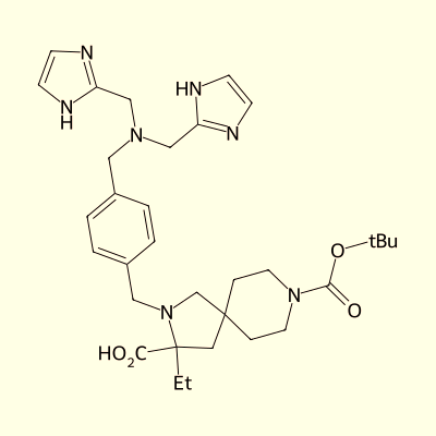 CCC1(C(=O)O)CC2(CCN(C(=O)OC(C)(C)C)CC2)CN1Cc1ccc(CN(Cc2ncc[nH]2)Cc2ncc[nH]2)cc1